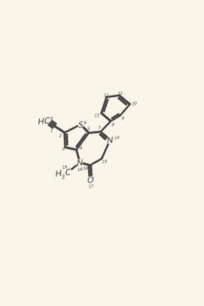 C#Cc1cc2c(s1)C(c1ccccc1)=NCC(=O)N2C